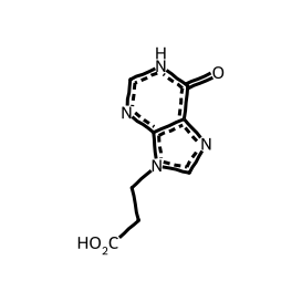 O=C(O)CCn1cnc2c(=O)[nH]cnc21